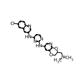 CN(C)CC1COc2cc(Nc3nccc(Nc4cnc5ccc(Cl)cc5c4)n3)cnc2O1